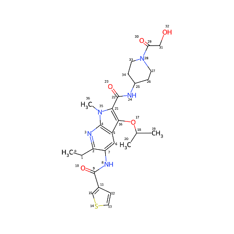 CCc1nc2c(cc1NC(=O)c1ccsc1)c(OC(C)C)c(C(=O)NC1CCN(C(=O)CO)CC1)n2C